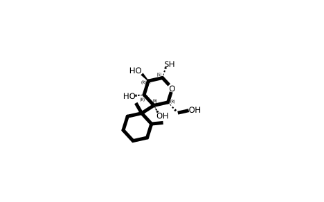 CC1CCCCC1(C)[C@@]1(O)[C@H](O)[C@@H](O)[C@H](S)O[C@@H]1CO